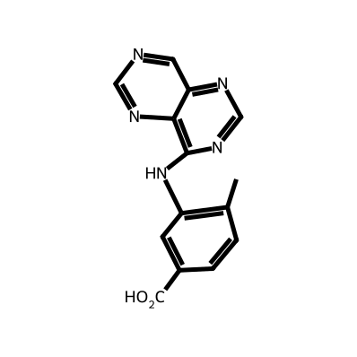 Cc1ccc(C(=O)O)cc1Nc1ncnc2cncnc12